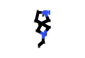 CCN1CC2(CCNC2)C1